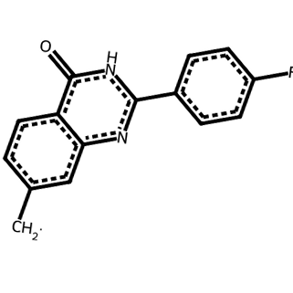 [CH2]c1ccc2c(=O)[nH]c(-c3ccc(F)cc3)nc2c1